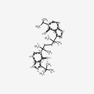 CC(C)n1cnc2snc(C(C)(C)CCC(C)(C)n3cnc4onc(C(C)(C)C)c4c3=O)c2c1=O